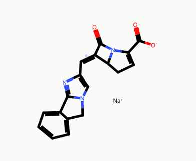 O=C([O-])C1=CCC2/C(=C\c3cn4c(n3)-c3ccccc3C4)C(=O)N12.[Na+]